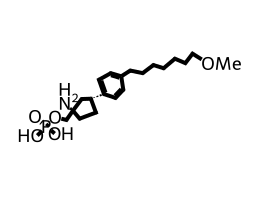 COCCCCCCCc1ccc([C@@H]2CC[C@](N)(COP(=O)(O)O)C2)cc1